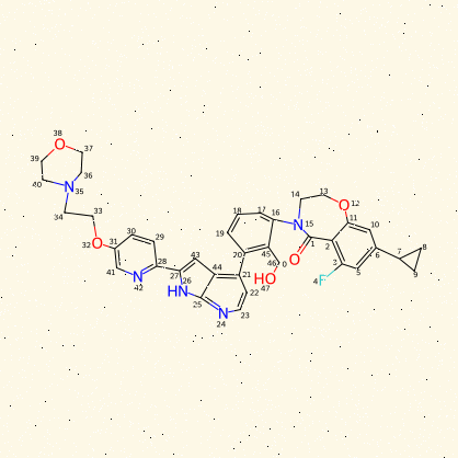 O=C1c2c(F)cc(C3CC3)cc2OCCN1c1cccc(-c2ccnc3[nH]c(-c4ccc(OCCN5CCOCC5)cn4)cc23)c1CO